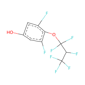 Oc1cc(F)c(OC(F)(F)C(F)C(F)(F)F)c(F)c1